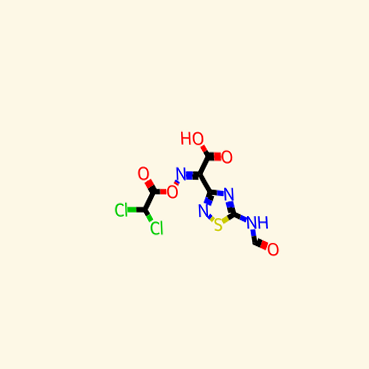 O=CNc1nc(/C(=N\OC(=O)C(Cl)Cl)C(=O)O)ns1